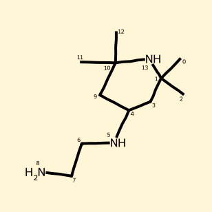 CC1(C)CC(NCCN)CC(C)(C)N1